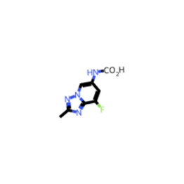 Cc1nc2c(F)cc(NC(=O)O)cn2n1